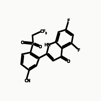 N#Cc1ccc(S(=O)(=O)CC(F)(F)F)c(-c2cc(=O)c3c(F)cc(F)cc3[nH]2)c1